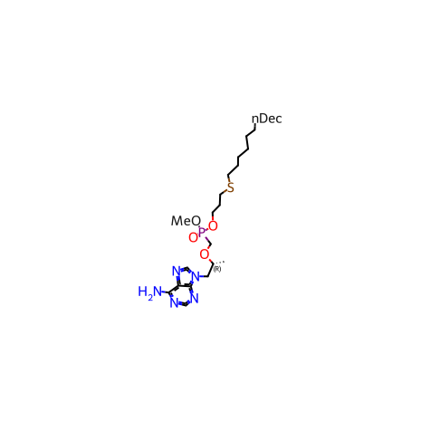 CCCCCCCCCCCCCCCCSCCCOP(=O)(CO[C@H](C)Cn1cnc2c(N)ncnc21)OC